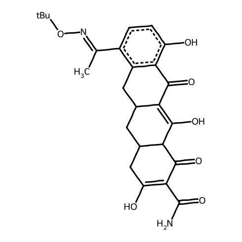 C/C(=N\OC(C)(C)C)c1ccc(O)c2c1CC1CC3CC(O)=C(C(N)=O)C(=O)C3C(O)=C1C2=O